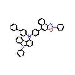 c1ccc(-c2ccc(N(c3ccc(-c4cc5oc(-c6ccccc6)nc5c5ccccc45)cc3)c3cccc4c3c3ccccc3n4-c3ccccc3)cc2)cc1